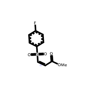 COC(=O)/C=C\S(=O)(=O)c1ccc(F)cc1